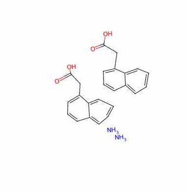 N.N.O=C(O)Cc1cccc2ccccc12.O=C(O)Cc1cccc2ccccc12